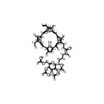 C=Cc1c(C)c2cc3nc(c(C)c4cc(C)c(cc5nc(cc1[nH]2)C(C)=C5CC)[nH]4)C(CCC(=O)N(C)CCCS[C@H]1O[C@H](COC(C)=O)[C@@H](OC(C)=O)[C@H](OC(C)=O)[C@@H]1OC(C)=O)=C3C